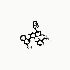 Cc1ccnc(C(C)C)c1-n1c(=O)nc(N2CC3CCC(C2)N3)c2cc(F)c(-c3cc(O)cc4ccccc34)nc21